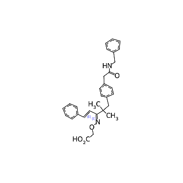 CC(C)(Cc1ccc(CC(=O)NCc2ccccc2)cc1)C(/C=C/c1ccccc1)=N/OCC(=O)O